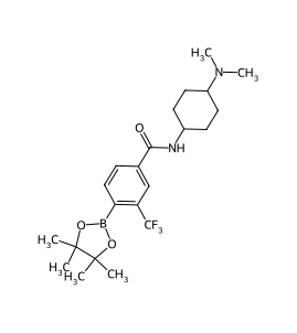 CN(C)C1CCC(NC(=O)c2ccc(B3OC(C)(C)C(C)(C)O3)c(C(F)(F)F)c2)CC1